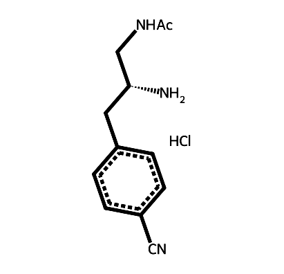 CC(=O)NC[C@H](N)Cc1ccc(C#N)cc1.Cl